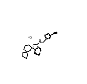 C#Cc1csc(CNCC[C@@]2(c3ccccn3)CCOC3(CCCC3)C2)c1.Cl